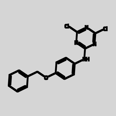 Clc1nc(Cl)nc(Nc2ccc(OCc3ccccc3)cc2)n1